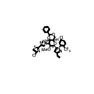 C=Cc1cc([C@@H]2O[C@@H]3COC(c4ccccc4)O[C@@H]3[C@H](n3cc(-c4nc(Cl)cs4)nn3)[C@H]2OC)n(-c2cc(Cl)ccc2C(F)(F)F)n1